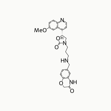 COc1ccc2nccc([C@@H]3CN(CCCNCc4ccc5c(c4)NC(=O)CO5)C(=O)O3)c2c1